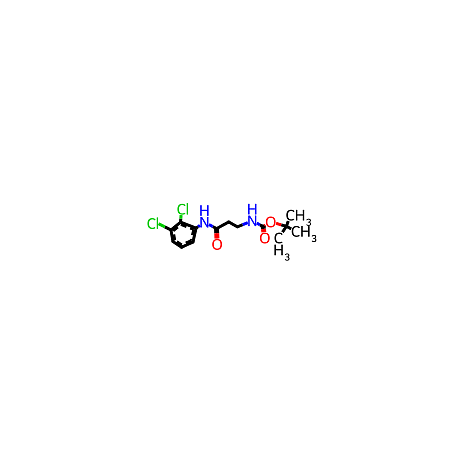 CC(C)(C)OC(=O)NCCC(=O)Nc1cccc(Cl)c1Cl